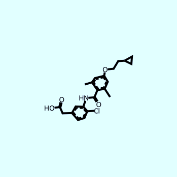 Cc1cc(OCCC2CC2)cc(C)c1C(=O)Nc1cc(CC(=O)O)ccc1Cl